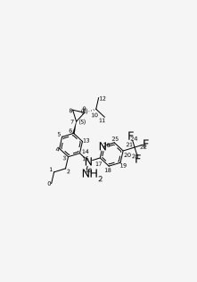 CCCc1ccc([C@H]2C[C@@H]2C(C)C)cc1N(N)c1ccc(C(F)(F)F)cn1